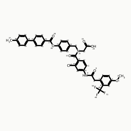 COc1ccc(CC(=O)Nc2ccc(C(=O)N(CC(=O)O)Cc3ccc(OC(=O)c4ccc(-c5ccc(C)cc5)cc4)cc3)c(Cl)c2)c(C(F)(F)F)c1